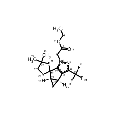 CCOC(=O)Cn1nc(C(F)(F)F)c2c1C1(SCC(C)(C)S1)[C@@H]1C[C@H]21